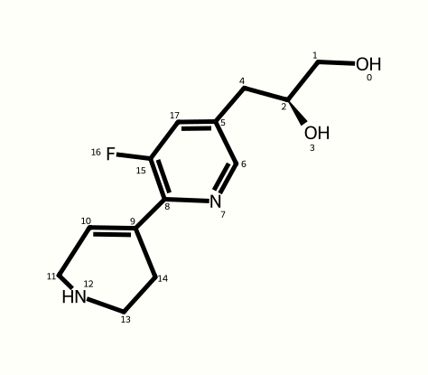 OC[C@@H](O)Cc1cnc(C2=CCNCC2)c(F)c1